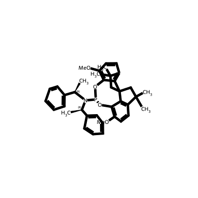 COc1ccc2c3c1OP(N([C@H](C)c1ccccc1)[C@H](C)c1ccccc1)Oc1c(OC)ccc4c1C3(CC2(C)C)CC4(C)C